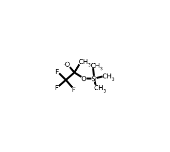 CC([O])(O[Si](C)(C)C)C(F)(F)F